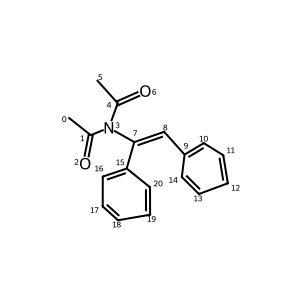 CC(=O)N(C(C)=O)C(=Cc1ccccc1)c1ccccc1